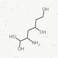 NC(CC(O)CCO)C(O)O